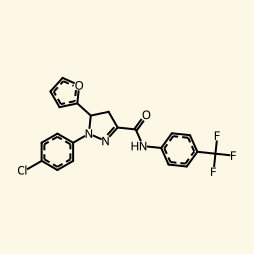 O=C(Nc1ccc(C(F)(F)F)cc1)C1=NN(c2ccc(Cl)cc2)C(c2ccco2)C1